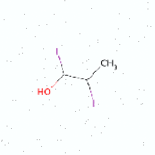 CC(I)C(O)I